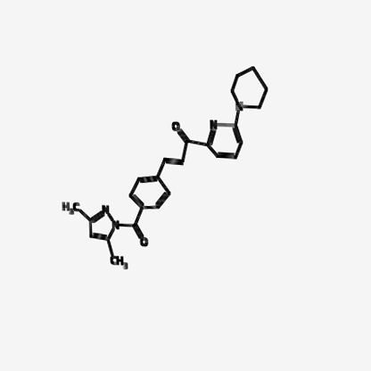 Cc1cc(C)n(C(=O)c2ccc(C=CC(=O)c3cccc(N4CCCCC4)n3)cc2)n1